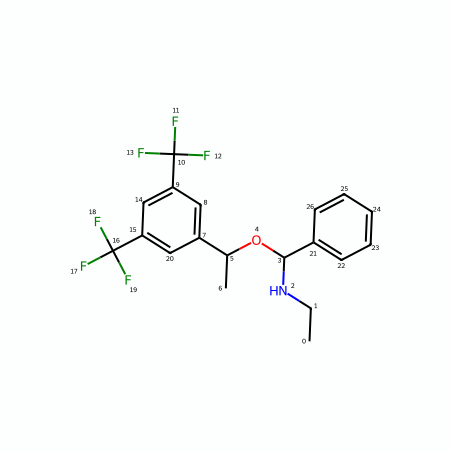 CCNC(OC(C)c1cc(C(F)(F)F)cc(C(F)(F)F)c1)c1ccccc1